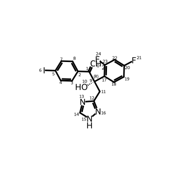 C=C(c1ccc(I)cc1)[C@](O)(Cc1nc[nH]n1)c1ccc(F)cc1F